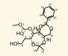 COCOC1[C@@H]([C@@H](O)CO)OC(C)(C)O[C@@H]2COC(c3ccccc3)O[C@@H]12